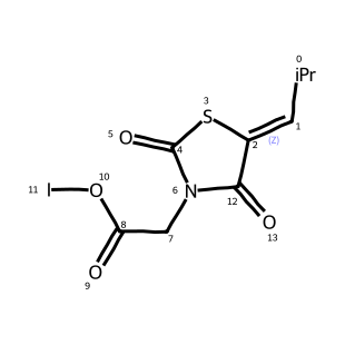 CC(C)/C=C1\SC(=O)N(CC(=O)OI)C1=O